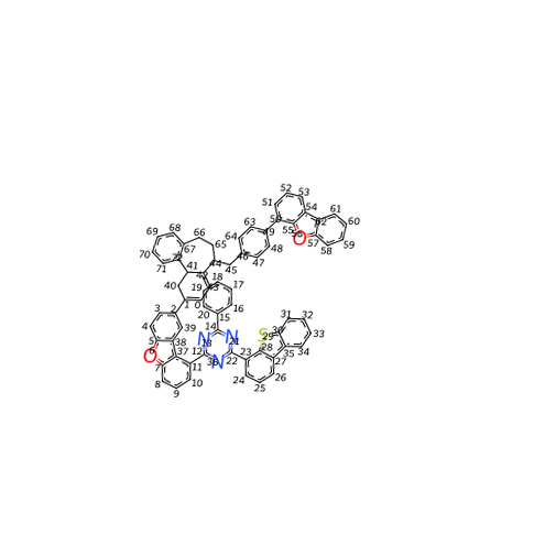 C1=C(c2ccc3oc4cccc(-c5nc(-c6ccccc6)nc(-c6cccc7c6sc6ccccc67)n5)c4c3c2)CC2C(=C1)C(Cc1ccc(-c3cccc4c3oc3ccccc34)cc1)CCc1ccccc12